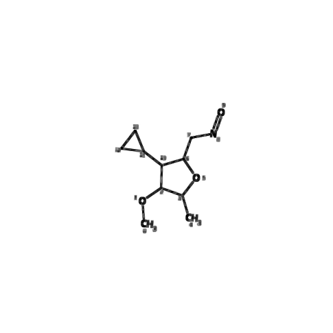 COC1C(C)OC(CN=O)C1C1CC1